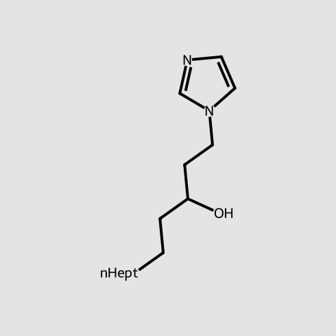 CCCCCCCCCC(O)CCn1ccnc1